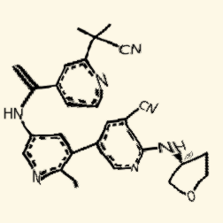 C=C(Nc1cnc(C)c(-c2cnc(N[C@H]3CCOC3)c(C#N)c2)c1)c1ccnc(C(C)(C)C#N)c1